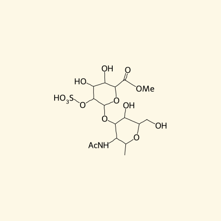 COC(=O)C1OC(OC2C(O)C(CO)OC(C)C2NC(C)=O)C(OS(=O)(=O)O)C(O)C1O